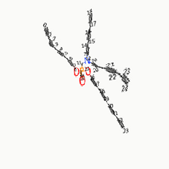 C#CC#CC#CC#COP(=O)(CN(C#CC#CC#C)C#CC#CC#C)OC#CC#CC#CC#C